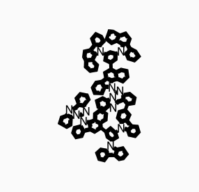 c1ccc2c(c1)ccc1c3ccccc3n(-c3cc(-c4cc5c6ccccc6n(-c6nc7cccc(-c8ccc9c(c8)c8ccccc8n9-c8cc(-c9cc%10c%11ccccc%11n(-c%11nc%12ccccc%12c%12nc%13ccccc%13n%11%12)c%10c%10ccccc9%10)cc(-n9c%10ccccc%10c%10ccccc%109)c8)c7c7nc8ccccc8n67)c5c5ccccc45)cc(-n4c5ccccc5c5ccc6ccccc6c54)c3)c21